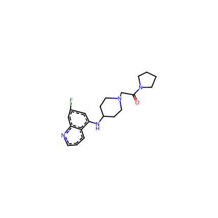 O=C(CN1CCC(Nc2cc(F)cc3ncccc23)CC1)N1CCCC1